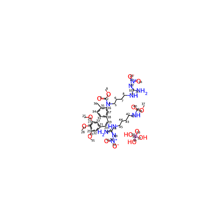 COC(=O)N(CCCCNC(N)=N[N+](=O)[O-])c1cc(/C=C\c2cc(OC)c(OC)c(OC)c2)ccc1C.COC(=O)NCCCCNC(N)=N[N+](=O)[O-].O=P(O)(O)O